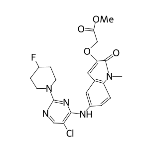 COC(=O)COc1cc2cc(Nc3nc(N4CCC(F)CC4)ncc3Cl)ccc2n(C)c1=O